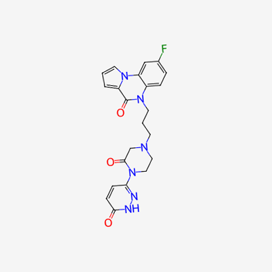 O=C1CN(CCCn2c(=O)c3cccn3c3cc(F)ccc32)CCN1c1ccc(=O)[nH]n1